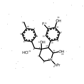 CCCN1CCC(O)(Cc2ccc(C)cc2)C(c2ccc(O)c(F)c2)C1O.Cl